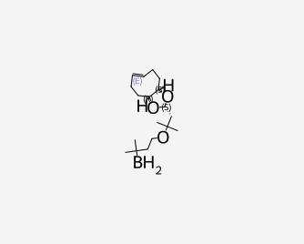 BC(C)(C)CCOC(C)(C)C[C@H]1O[C@H]2CC/C=C/CC[C@H]2O1